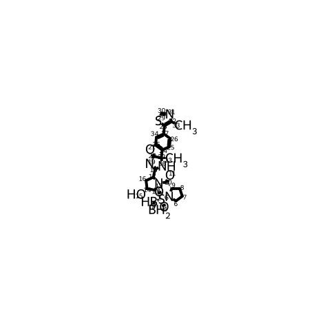 BBS(=O)(=O)N1CCC[C@H]1C(=O)N1C[C@H](O)CC1C1=NC(=O)[C@](C)(c2ccc(-c3scnc3C)cc2)N1